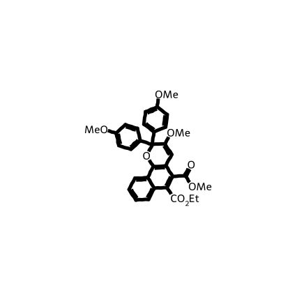 CCOC(=O)c1c(C(=O)OC)c2c(c3ccccc13)OC(c1ccc(OC)cc1)(c1ccc(OC)cc1)C(OC)=C2